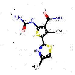 Cc1csc(-c2sc(NC(N)=O)c(C(N)=O)c2C)n1